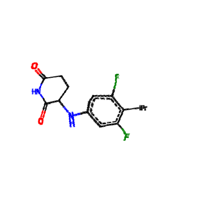 CC(C)c1c(F)cc(NC2CCC(=O)NC2=O)cc1F